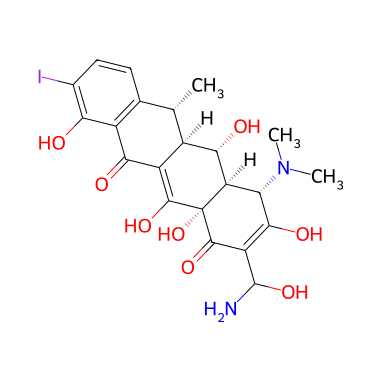 C[C@H]1c2ccc(I)c(O)c2C(=O)C2=C(O)[C@]3(O)C(=O)C(C(N)O)=C(O)[C@@H](N(C)C)[C@@H]3[C@@H](O)[C@@H]21